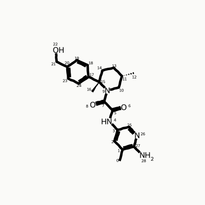 Cc1cc(NC(=O)C(=O)N2C[C@@H](C)CC[C@@]2(C)c2ccc(CO)cc2)cnc1N